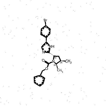 C[C@@H]1C[C@@H](c2ncc(-c3ccc(Br)cc3)[nH]2)N(C(=O)OCc2ccccc2)[C@@H]1C